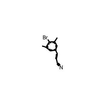 Cc1cc(/C=C/C#N)cc(C)c1Br